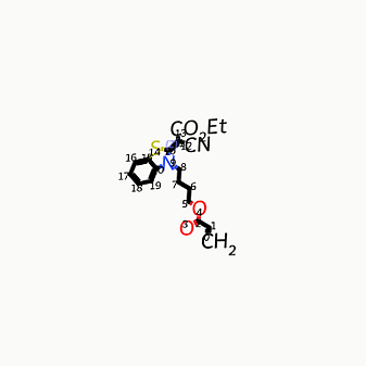 C=CC(=O)OCCCCN1/C(=C(\C#N)C(=O)OCC)Sc2ccccc21